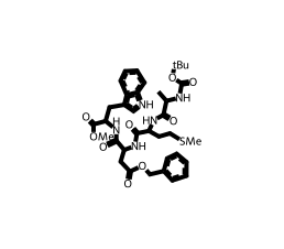 COC(=O)C(Cc1c[nH]c2ccccc12)NC(=O)C(CC(=O)OCc1ccccc1)NC(=O)C(CCSC)NC(=O)C(C)NC(=O)OC(C)(C)C